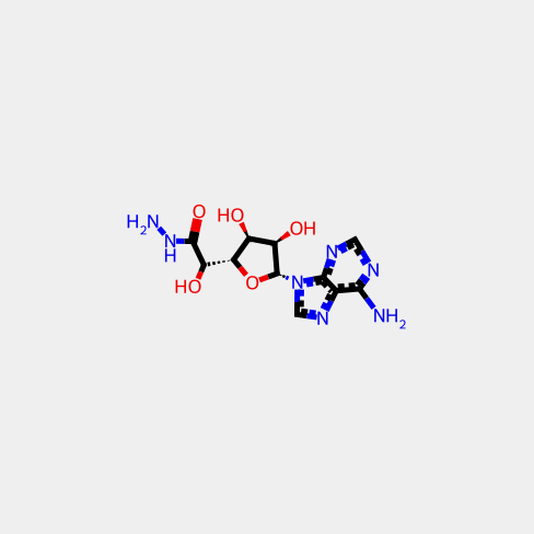 NNC(=O)C(O)[C@H]1O[C@@H](n2cnc3c(N)ncnc32)[C@H](O)[C@@H]1O